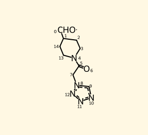 O=[C]C1CCN(C(=O)Cn2cnnn2)CC1